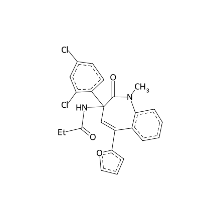 CCC(=O)NC1(c2ccc(Cl)cc2Cl)C=C(c2ccco2)c2ccccc2N(C)C1=O